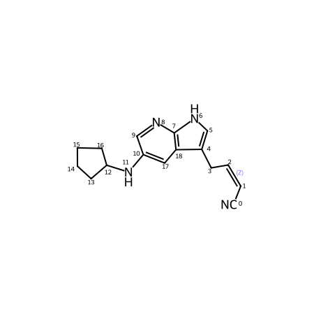 N#C/C=C\Cc1c[nH]c2ncc(NC3CCCC3)cc12